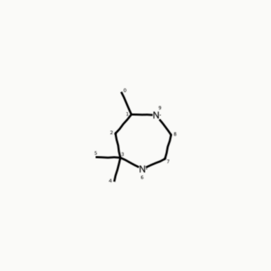 CC1CC(C)(C)[N]CC[N]1